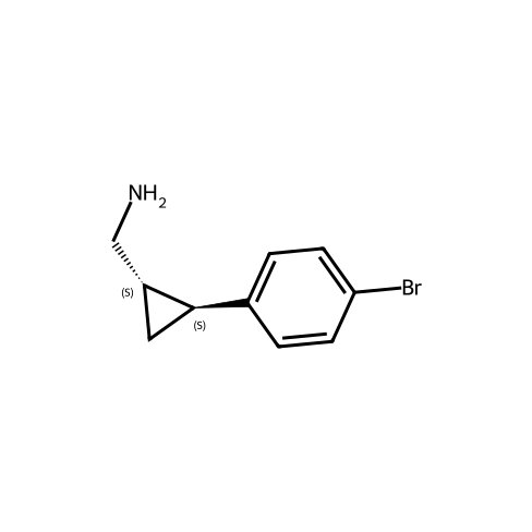 NC[C@H]1C[C@@H]1c1ccc(Br)cc1